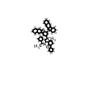 C/C(=C\C(=N/[C@@H](C)c1ccccc1)c1cccc2c1oc1ccccc12)c1cc(-n2c3ccccc3c3cc4ccccc4cc32)c2sc3cc4ccccc4cc3c2c1